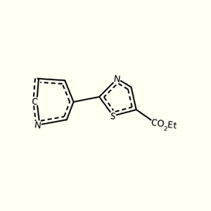 CCOC(=O)c1cnc(-c2cccnc2)s1